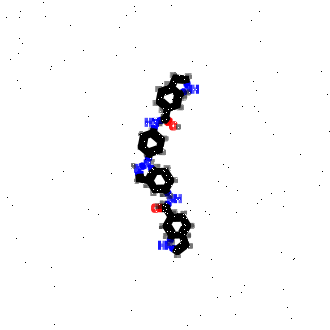 O=C(Nc1ccc(-n2ncc3cc(NC(=O)c4ccc5cc[nH]c5c4)ccc32)cc1)c1ccc2cc[nH]c2c1